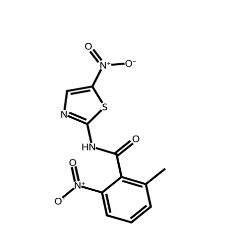 Cc1cccc([N+](=O)[O-])c1C(=O)Nc1ncc([N+](=O)[O-])s1